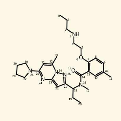 CCCNCCOc1ccc(C)cc1C(=O)N(C)C(CC)c1cc2nc(N3CCCC3)cc(C)n2n1